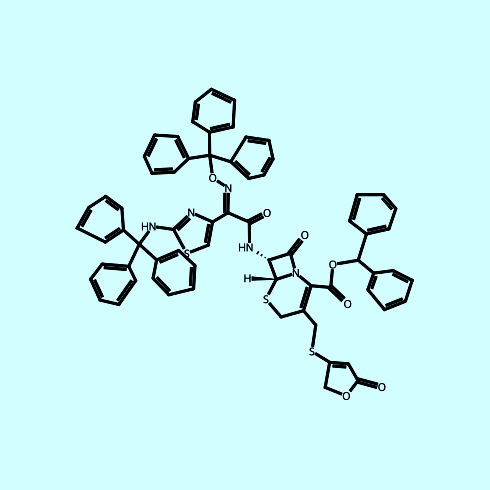 O=C1C=C(SCC2=C(C(=O)OC(c3ccccc3)c3ccccc3)N3C(=O)[C@@H](NC(=O)/C(=N/OC(c4ccccc4)(c4ccccc4)c4ccccc4)c4csc(NC(c5ccccc5)(c5ccccc5)c5ccccc5)n4)[C@H]3SC2)CO1